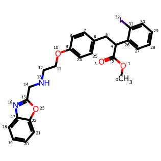 COC(=O)C(Cc1ccc(OCCNCc2nc3ccccc3o2)cc1)c1ccccc1I